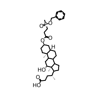 C[C@H](CCC(=O)O)C1CCC2C3CC[C@@H]4C[C@H](OC(=O)CCP(C)(=O)OCc5ccccc5)CC[C@]4(C)C3C[C@H](O)[C@@]21C